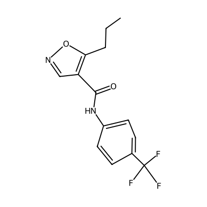 CCCc1oncc1C(=O)Nc1ccc(C(F)(F)F)cc1